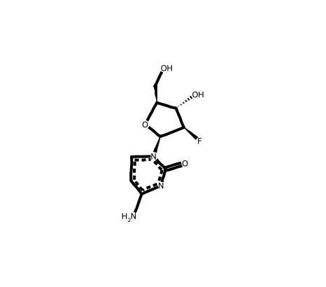 Nc1ccn([C@H]2O[C@@H](CO)[C@H](O)[C@H]2F)c(=O)n1